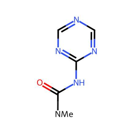 CNC(=O)Nc1ncncn1